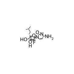 CC(C)CC[C@]12O[C@@H](n3ccc(N)nc3=O)[C@H](F)[C@@]1(O)C2O